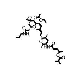 CCCNC(=O)C[C@@H]1C[C@@]2(CO2)[C@H](OC(C)OCC)[C@@H](C=CC(C)=CC[C@@H]2O[C@H](C)[C@H](NC(=O)C=CC(C)OC(=O)C(C)C)C[C@@H]2C)O1